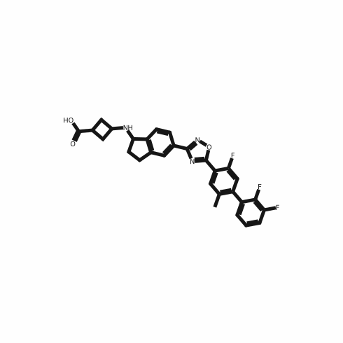 Cc1cc(-c2nc(-c3ccc4c(c3)CCC4NC3CC(C(=O)O)C3)no2)c(F)cc1-c1cccc(F)c1F